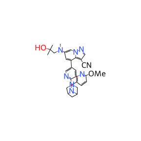 COc1ccc(CN2C3CC2CN(c2ccc(-c4cc(N(C)CC(C)(C)O)cn5ncc(C#N)c45)cn2)C3)cn1